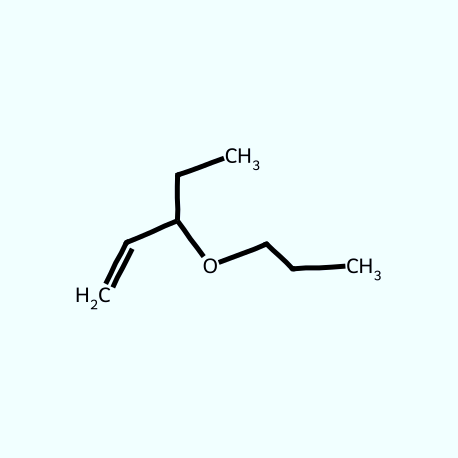 C=CC(CC)OCCC